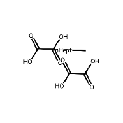 CCCCCCCC.O=C(O)C(=O)O.O=C(O)C(=O)O